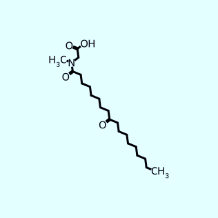 CCCCCCCCCC(=O)CCCCCCCC(=O)N(C)CC(=O)O